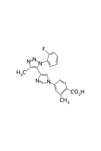 Cc1cc(-n2cnc(-c3c(C)nnn3-c3ccccc3F)c2)ccc1C(=O)O